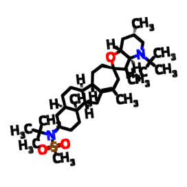 CC1=C2C[C@H]3[C@@H](CC[C@@H]4C[C@H](N(C(C)(C)C)S(C)(=O)=O)CC[C@@]43C)[C@@H]2CC[C@@]2(C1)O[C@@H]1C[C@H](C)CN(C(C)(C)C)[C@H]1[C@H]2C